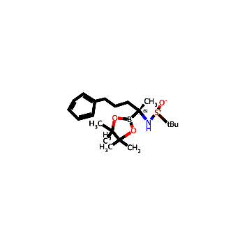 CC(C)(C)[S+]([O-])N[C@@](C)(CCCc1ccccc1)B1OC(C)(C)C(C)(C)O1